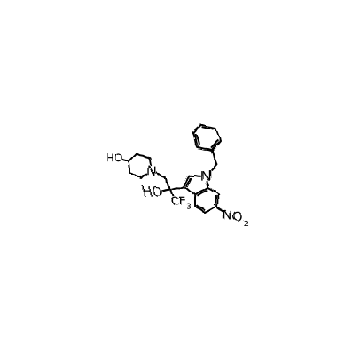 O=[N+]([O-])c1ccc2c(C(O)(CN3CCC(O)CC3)C(F)(F)F)cn(Cc3ccccc3)c2c1